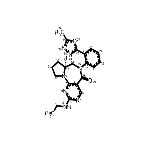 CCNc1ncc2c(n1)N1CCC[C@H]1CN(c1ccccc1-c1nnc(C)o1)C2=O